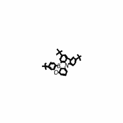 CC(C)(C)c1ccc2c(c1)Oc1cccc3c1B2c1cc(C(C)(C)C)cc2c4cc(C(C)(C)C)ccc4n-3c12